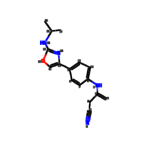 C=C(CC#N)Nc1ccc(-c2coc(NC(C)C)n2)cc1